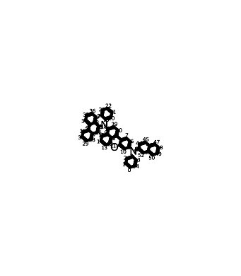 c1ccc(N(c2ccc3c(c2)Oc2cccc4c(N(c5ccccc5)c5cc6ccccc6c6ccccc56)ccc-3c24)c2ccc3ccccc3c2)cc1